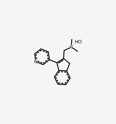 CN(C)CC1=C(c2cccnc2)c2ccccc2C1.Cl